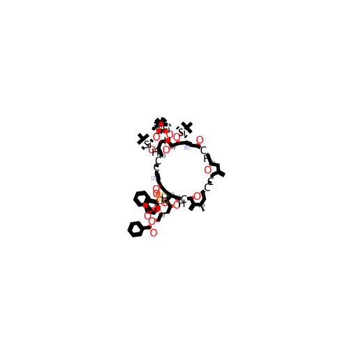 C=C1C[C@@H]2CCC(=O)/C=C/C(O[Si](C)(C)C(C)(C)C)[C@@H]3O[C@@H](CC/C=C\C(=O)C(S(=O)(=O)c4ccccc4)[C@H]4[C@H](CC5OC(CCC1O2)C[C@@H](C)C5=C)OC(C[C@@H](COC(=O)c1ccccc1)OC(=O)c1ccccc1)[C@@H]4OC)[C@H](O[Si](C)(C)C(C)(C)C)C(O[Si](C)(C)C(C)(C)C)C3O[Si](C)(C)C(C)(C)C